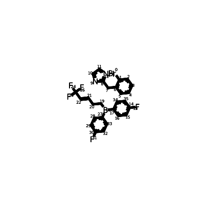 Brc1ccccc1Cc1ncc[nH]1.Fc1ccc(B(CCC=CC(F)(F)F)c2ccc(F)cc2)cc1